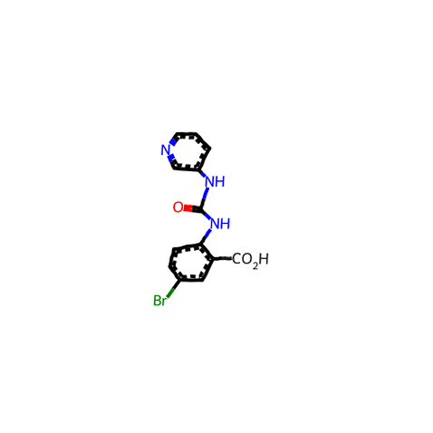 O=C(Nc1cccnc1)Nc1ccc(Br)cc1C(=O)O